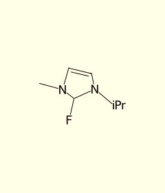 CC(C)N1C=CN(C)C1F